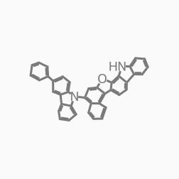 c1ccc(-c2ccc3c(c2)c2ccccc2n3-c2cc3oc4c(ccc5c6ccccc6[nH]c54)c3c3ccccc23)cc1